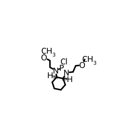 COCCN1[C@@H]2CCCC[C@H]2N(CCOC)P1Cl